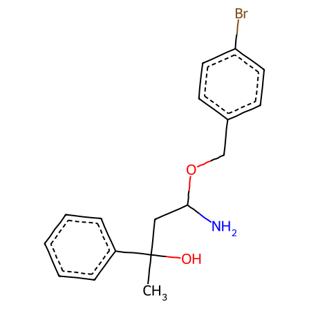 CC(O)(CC(N)OCc1ccc(Br)cc1)c1ccccc1